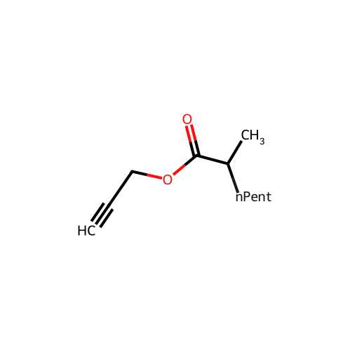 C#CCOC(=O)C(C)CCCCC